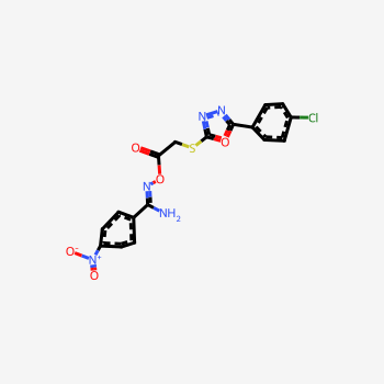 NC(=NOC(=O)CSc1nnc(-c2ccc(Cl)cc2)o1)c1ccc([N+](=O)[O-])cc1